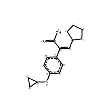 O=C(O)C(=CC1CCCC1)c1ccc(SC2CC2)cc1